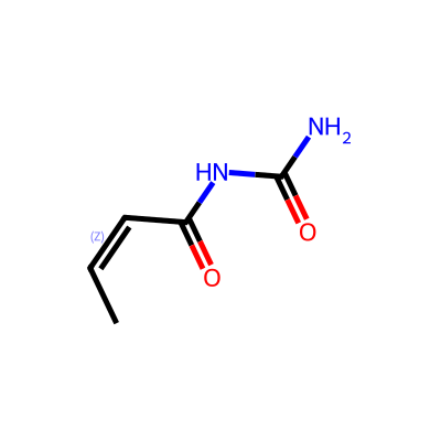 C/C=C\C(=O)NC(N)=O